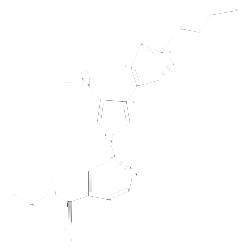 CCCOc1ccc(-c2cn(-c3cc(C(=O)OCC)ccn3)cc2N)cc1